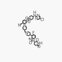 Cn1c(=O)n(C2CCC(=O)NC2=O)c2ccc(F)c(C3CCN(CC4CCN(c5cc(S(=O)(=O)N6CCC(Nc7ncc(Cl)cn7)CC6)ccc5C#N)CC4)CC3)c21